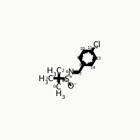 CC(C)(C)[S@+]([O-])N=Cc1ccc(Cl)cc1